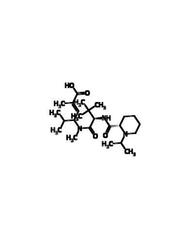 C/C(=C\C(C(C)C)N(C)C(=O)[C@H](NC(=O)[C@@H]1CCCCN1C(C)C)C(C)(C)C)C(=O)O